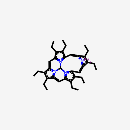 CCc1c(CC)c2n3c1C=c1c(CC)c(CC)c4n1C3n1c(c(CC)c(CC)c1/C=c1/c(CC)c(CC)/c(n1P)=C/2)C=4